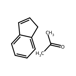 C1=Cc2ccccc2C1.CC(C)=O